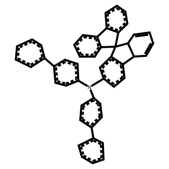 C1=CC2c3ccc(N(c4ccc(-c5ccccc5)cc4)c4ccc(-c5ccccc5)cc4)cc3C3(c4ccccc4-c4ccccc43)C2C=C1